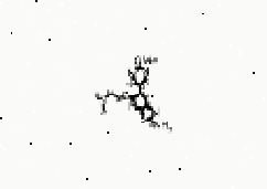 COc1ncc(-c2cc3nc(N)sc3nc2OCCN(C)C)cn1